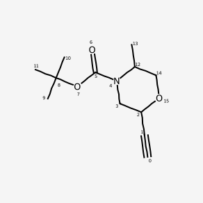 C#CC1CN(C(=O)OC(C)(C)C)C(C)CO1